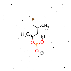 C=C(CC(C)CBr)OP(OCC)OCC